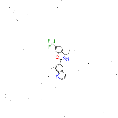 CCC(NC(=O)c1ccc2ncccc2c1)c1ccc(C(F)(F)F)cc1